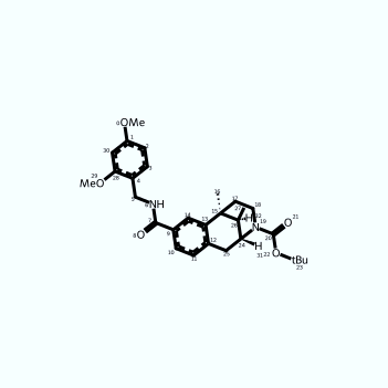 COc1ccc(CNC(=O)c2ccc3c(c2)[C@@]2(C)CCN(C(=O)OC(C)(C)C)[C@H](C3)[C@@H]2C)c(OC)c1